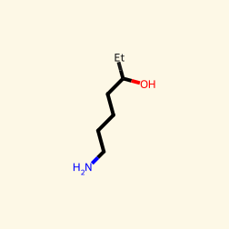 CCC(O)CCCCN